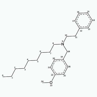 CCCCCCCCCN(CCc1ccccc1)Cc1ccc(OC)cc1